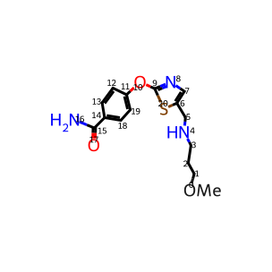 COCCCNCc1cnc(Oc2ccc(C(N)=O)cc2)s1